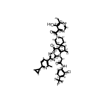 Cc1nc(C2CC2)ccc1-c1nc2n(CC(=O)Nc3ccc(C(F)(F)F)cc3Cl)c3c(c(=O)n2n1)C1(CCN(C(=O)c2ncnc(C)c2O)CC1)CC3C